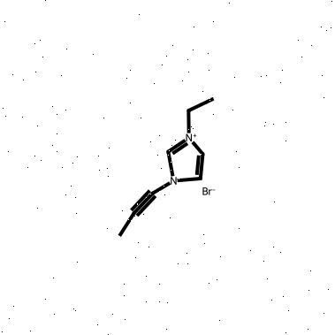 CC#Cn1cc[n+](CC)c1.[Br-]